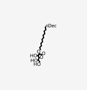 CCCCCCCCCCCCCCCCCCCCCCOC1=C(O)C(C(O)CO)OC1=O